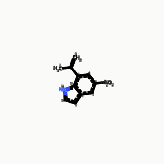 C=C(C)c1cc([N+](=O)[O-])cc2cc[nH]c12